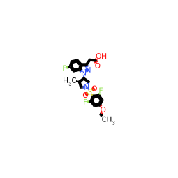 CCOc1cc(F)c(S(=O)(=O)N2C[C@@H](C)[C@@H](n3nc(CC(=O)O)c4ccc(F)cc43)C2)c(F)c1